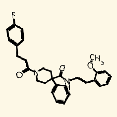 COc1ccccc1CCNC(=O)C1(c2ccccc2)CCN(C(=O)CCc2ccc(F)cc2)CC1